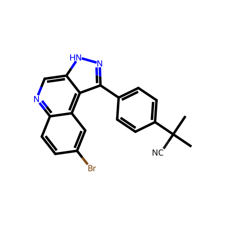 CC(C)(C#N)c1ccc(-c2n[nH]c3cnc4ccc(Br)cc4c23)cc1